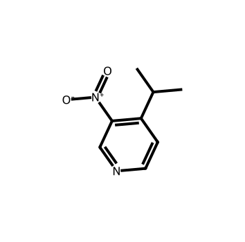 CC(C)c1ccncc1[N+](=O)[O-]